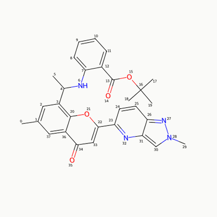 Cc1cc(C(C)Nc2ccccc2C(=O)OC(C)(C)C)c2oc(-c3ccc4nn(C)cc4n3)cc(=O)c2c1